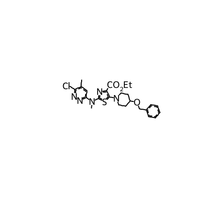 CCOC(=O)c1nc(N(C)c2cc(C)c(Cl)nn2)sc1N1CCC(OCc2ccccc2)CC1